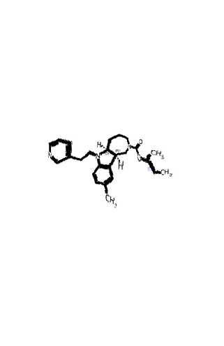 C/C=C(\C)OC(=O)N1CCC[C@H]2[C@@H](C1)c1cc(C)ccc1N2CCc1cccnc1